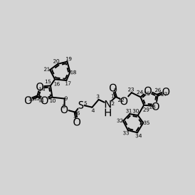 O=C(NCCSC(=O)OCc1oc(=O)oc1-c1ccccc1)OCc1oc(=O)oc1-c1ccccc1